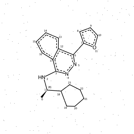 C[C@@H](Nc1nnc(-c2ccco2)c2ccccc12)C1CCCCC1